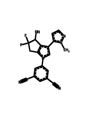 Cn1nccc1-c1cn(-c2cc(C#N)cc(C#N)c2)c2c1C(O)C(F)(F)C2